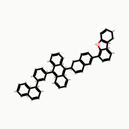 C1=Cc2oc3c(-c4ccc5c(c4)C=CC(c4c6ccccc6c(-c6cccc(-c7cccc8ccccc78)c6)c6ccccc46)C5)cccc3c2CC1